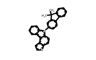 CC1(C)c2ccccc2-c2ccc(-n3c4ccccc4c4c5ccoc5ccc43)cc21